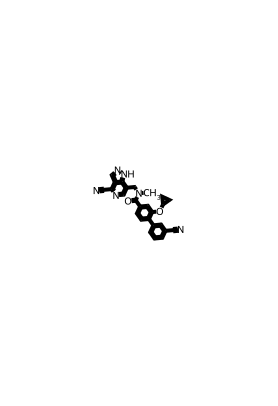 CN(Cc1cnc(C#N)c2cn[nH]c12)C(=O)c1ccc(-c2cccc(C#N)c2)c(OC2CC2)c1